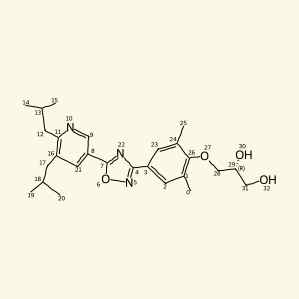 Cc1cc(-c2noc(-c3cnc(CC(C)C)c(CC(C)C)c3)n2)cc(C)c1OC[C@H](O)CO